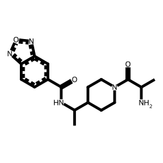 CC(N)C(=O)N1CCC(C(C)NC(=O)c2ccc3nonc3c2)CC1